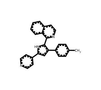 Cc1ccc(-c2cc(-c3ccncc3)[nH]c2-c2nccc3ccccc23)cc1